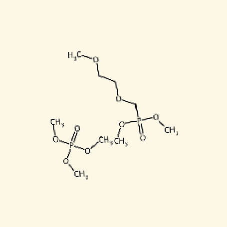 COCCOCP(=O)(OC)OC.COP(=O)(OC)OC